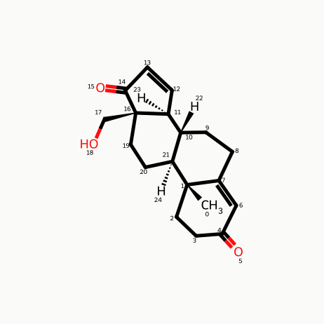 C[C@]12CCC(=O)C=C1CC[C@H]1[C@@H]3C=CC(=O)[C@@]3(CO)CC[C@@H]12